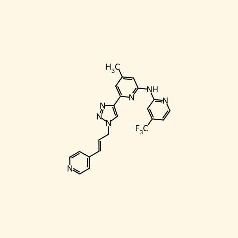 Cc1cc(Nc2cc(C(F)(F)F)ccn2)nc(-c2cn(CC=Cc3ccncc3)nn2)c1